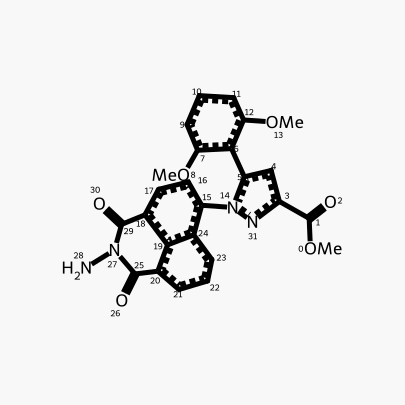 COC(=O)c1cc(-c2c(OC)cccc2OC)n(-c2ccc3c4c(cccc24)C(=O)N(N)C3=O)n1